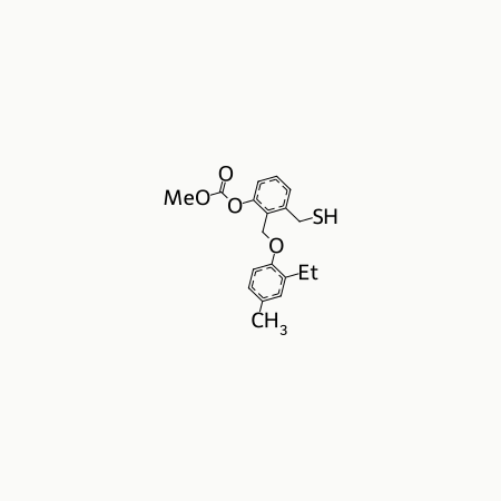 CCc1cc(C)ccc1OCc1c(CS)cccc1OC(=O)OC